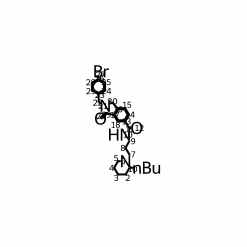 CCCCC1CCCCN1CCCNC(=O)c1ccc2c(c1)C(=O)N(Cc1ccc(Br)cc1)C2